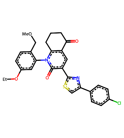 CCOc1ccc(COC)c(-n2c3c(cc(-c4nc(-c5ccc(Cl)cc5)cs4)c2=O)C(=O)CCC3)c1